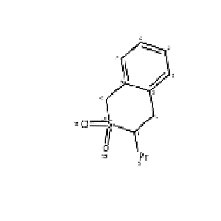 CC(C)C1Cc2ccccc2CS1(=O)=O